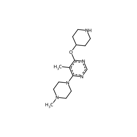 Cc1c(OC2CCNCC2)ncnc1N1CCN(C)CC1